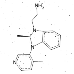 Cc1ccncc1N1c2ccccc2N(CCN)[C@@H]1C